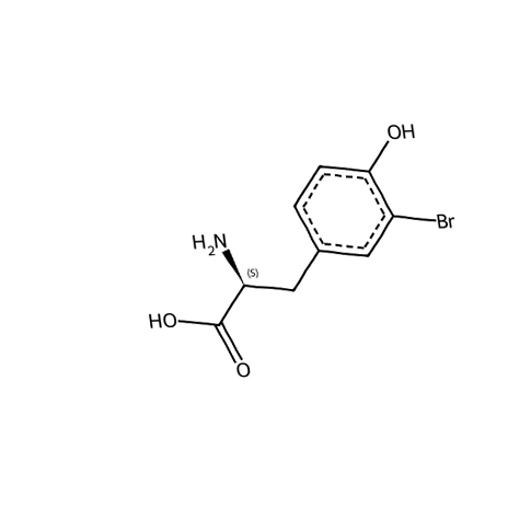 N[C@@H](Cc1ccc(O)c(Br)c1)C(=O)O